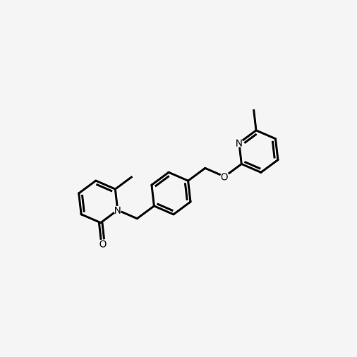 Cc1cccc(OCc2ccc(Cn3c(C)cccc3=O)cc2)n1